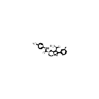 Cc1cccc(-c2nn3c(c2C(N)=O)CN(C(=O)Nc2ccc(C#N)cc2)CC3)c1